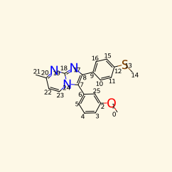 COc1cccc(-c2c(-c3ccc(SC)cc3)nc3nc(C)ccn23)c1